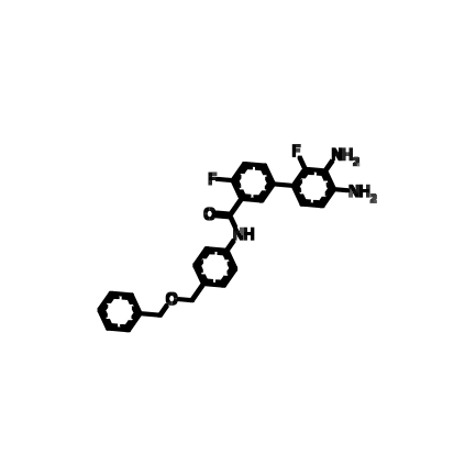 Nc1ccc(-c2ccc(F)c(C(=O)Nc3ccc(COCc4ccccc4)cc3)c2)c(F)c1N